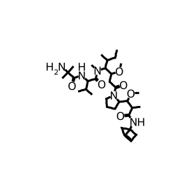 CCC(C)C(C(CC(=O)N1CCCC1C(OC)C(C)C(=O)NC12CC=C1C2)OC)N(C)C(=O)C(NC(=O)C(C)(C)N)C(C)C